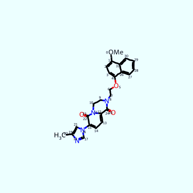 COc1ccc(OCCN2CCn3c(ccc(-n4cnc(C)c4)c3=O)C2=O)c2ccccc12